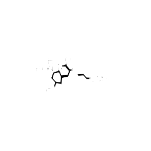 COCCCOc1cc2c(nc1Cl)C(NO)CC(C(C)C)C2